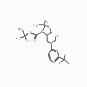 CCN(CC1COC(C)(C)N1C(=O)OC(C)(C)C)c1ccnc(C(F)(F)F)n1